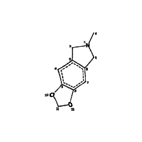 CN1Cc2cc3c(cc2C1)OCO3